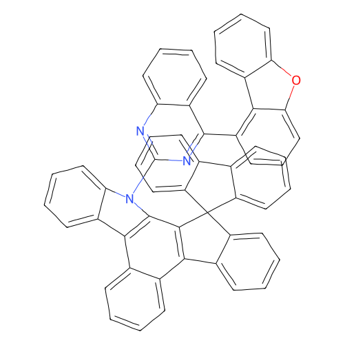 c1ccc2c(c1)-c1ccccc1C21c2ccccc2-c2c1c1c(c3ccccc23)c2ccccc2n1-c1nc(-c2cccc3oc4ccccc4c23)c2ccccc2n1